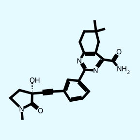 CN1CC[C@@](O)(C#Cc2cccc(-c3nc4c(c(C(N)=O)n3)CC(C)(C)CC4)c2)C1=O